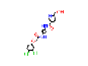 O=C(COc1ccc(Cl)c(Cl)c1)NC12CC(NC(=O)c3ccc(CO)nc3)(C1)C2